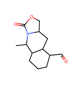 CC1C2CCCC(C=O)C2CC2COC(=O)N21